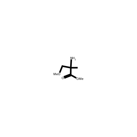 COCC(C)(N)C(=O)OC